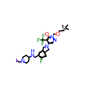 C[Si](C)(C)CCOCn1ncc(N2Cc3cc(F)c(CNC4CCN(CI)CC4)cc3C2)c(C(F)(F)F)c1=O